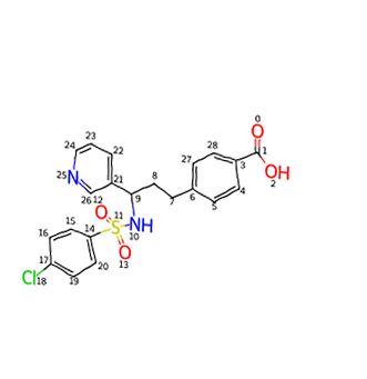 O=C(O)c1ccc(CCC(NS(=O)(=O)c2ccc(Cl)cc2)c2cccnc2)cc1